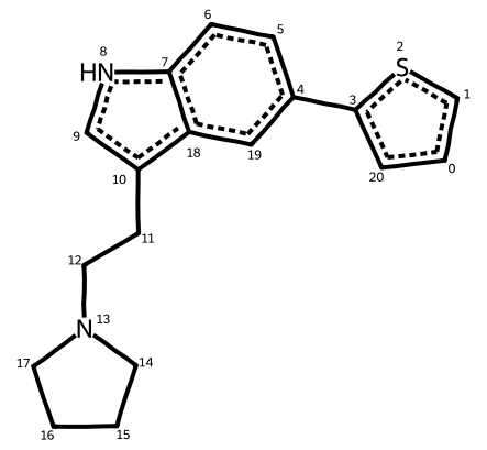 c1csc(-c2ccc3[nH]cc(CCN4CCCC4)c3c2)c1